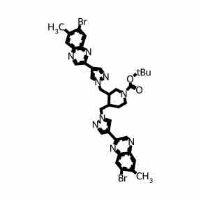 Cc1cc2ncc(-c3cnn(CC4CCN(C(=O)OC(C)(C)C)CC4Cn4cc(-c5cnc6cc(C)c(Br)cc6n5)cn4)c3)nc2cc1Br